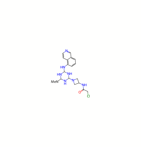 CNC1NC(Nc2cccc3cnccc23)NC(N2CC(NC(=O)CCl)C2)N1